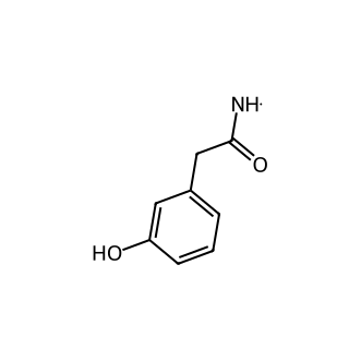 [NH]C(=O)Cc1cccc(O)c1